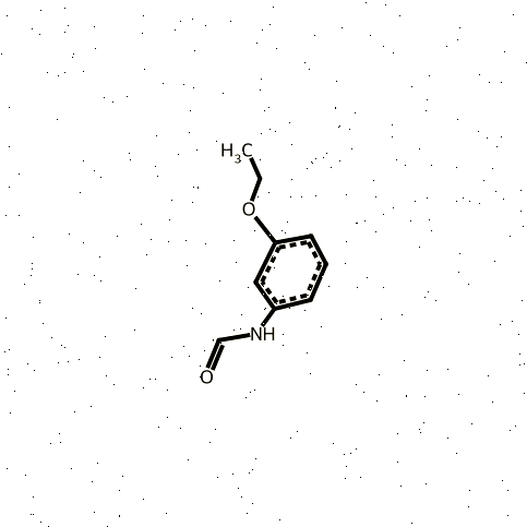 CCOc1cccc(N[C]=O)c1